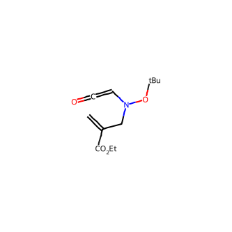 C=C(CN(C=C=O)OC(C)(C)C)C(=O)OCC